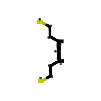 SCC[SiH]=[Si]=[SiH]CCS